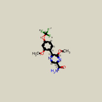 COc1cc(OC(F)(F)F)ccc1-c1ncc(C(N)=O)nc1OC